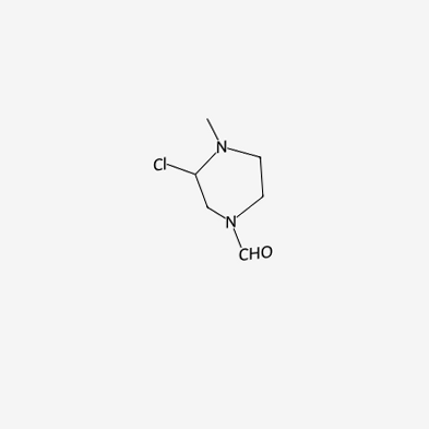 CN1CCN(C=O)CC1Cl